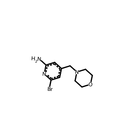 Nc1cc(CN2CCOCC2)cc(Br)n1